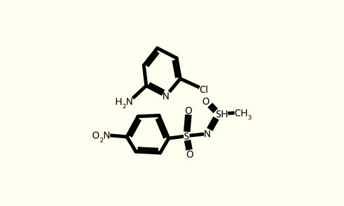 C[SH](=O)=NS(=O)(=O)c1ccc([N+](=O)[O-])cc1.Nc1cccc(Cl)n1